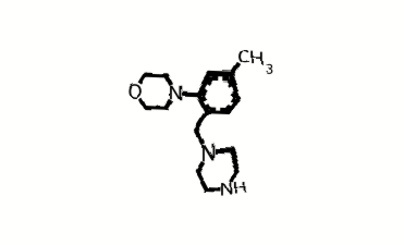 Cc1ccc(CN2CCNCC2)c(N2CCOCC2)c1